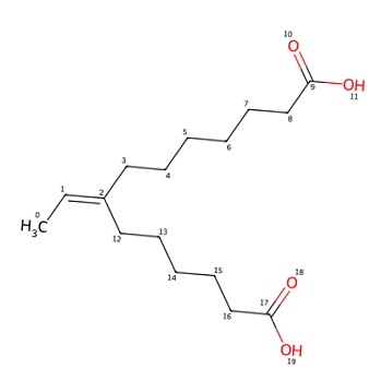 CC=C(CCCCCCC(=O)O)CCCCCC(=O)O